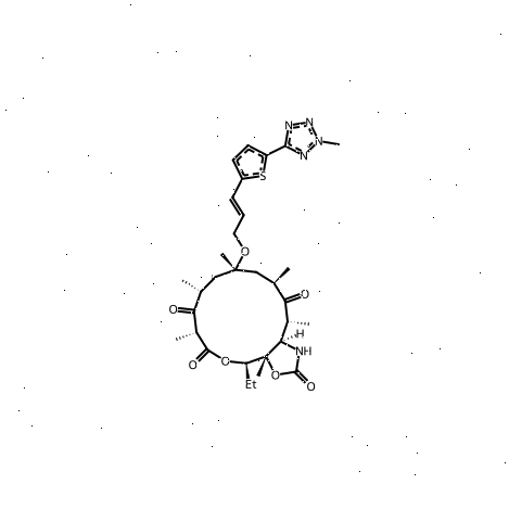 CC[C@H]1OC(=O)[C@H](C)C(=O)[C@H](C)[C][C@](C)(OC/C=C/c2ccc(-c3nnn(C)n3)s2)C[C@@H](C)C(=O)[C@H](C)[C@H]2NC(=O)O[C@@]21C